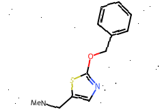 CNCc1cnc(OCc2ccccc2)s1